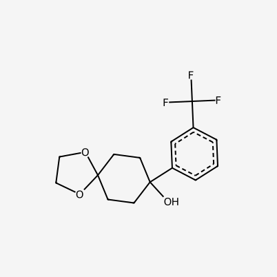 OC1(c2cccc(C(F)(F)F)c2)CCC2(CC1)OCCO2